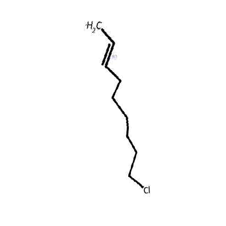 [CH2]/C=C/CCCCCCCl